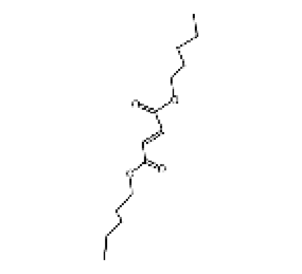 CCCCCOC(=O)C=CC(=O)OCCCCC